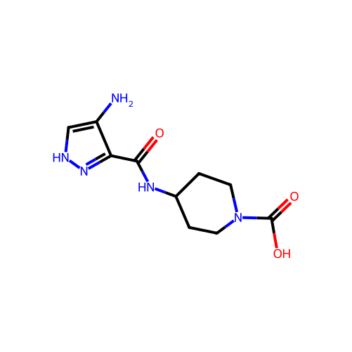 Nc1c[nH]nc1C(=O)NC1CCN(C(=O)O)CC1